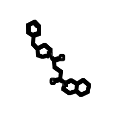 O=C(CCC(=O)N1CCC2CCCCC2C1)N1CCC(Cc2ccccc2)CC1